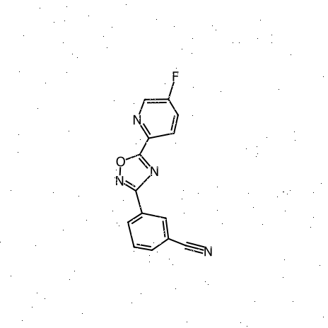 N#Cc1cccc(-c2noc(-c3ccc(F)cn3)n2)c1